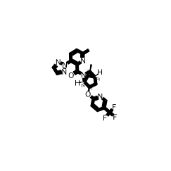 Cc1ccc(-n2nccn2)c(C(=O)N2[C@@H](C)[C@H]3C[C@@H](Oc4ccc(C(F)(F)F)cn4)[C@@H]2C3)n1